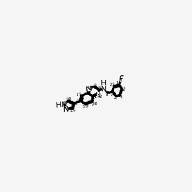 Fc1cccc(CNc2cnc3cc(-c4cn[nH]c4)ccc3n2)c1